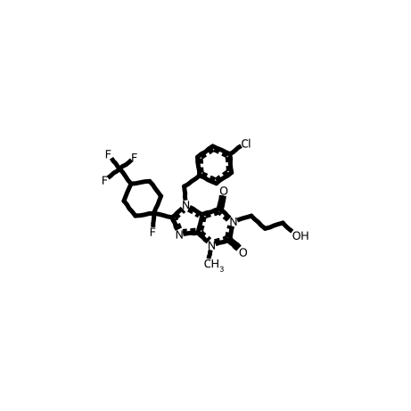 Cn1c(=O)n(CCCO)c(=O)c2c1nc(C1(F)CCC(C(F)(F)F)CC1)n2Cc1ccc(Cl)cc1